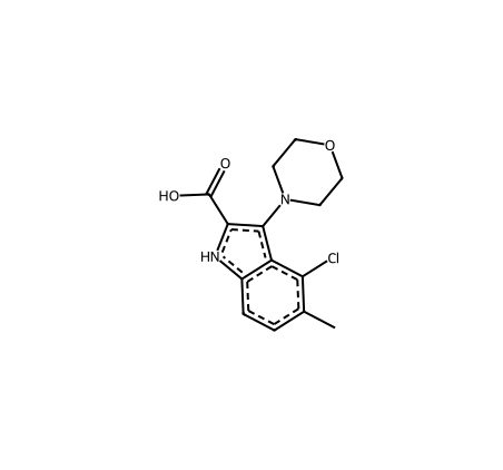 Cc1ccc2[nH]c(C(=O)O)c(N3CCOCC3)c2c1Cl